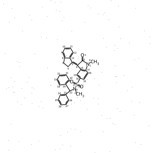 CN1C(=O)/C(=C2/CCc3ccccc32)c2cc(S(=O)(=O)N(C)C(c3ccccc3)c3ccccc3)ccc21